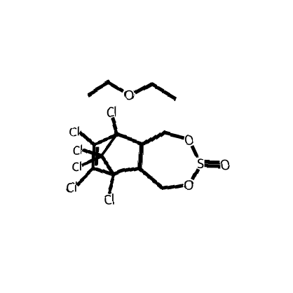 CCOCC.O=S1OCC2C(CO1)C1(Cl)C(Cl)=C(Cl)C2(Cl)C1(Cl)Cl